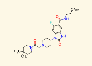 COCCNC(=O)c1cc2[nH]c(=O)n(C3CCN(CC(=O)N4CCC(C)(C)CC4)CC3)c2cc1F